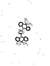 CC1(C)c2ccccc2N(c2nnc(N3c4ccccc4C(C)(C)c4ccccc43)o2)c2ccccc21